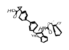 C[C@@H](OC(=O)Nc1c(-c2ccc(-c3ccc(C4(C(=O)O)CC4)cc3)cc2)[nH]c2ccccc12)c1ccccc1Cl